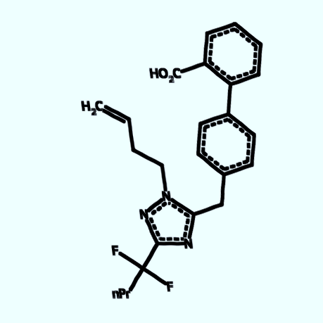 C=CCCn1nc(C(F)(F)CCC)nc1Cc1ccc(-c2ccccc2C(=O)O)cc1